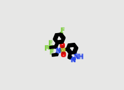 CCN(C(c1ccc(F)cc1)C(F)(F)F)S(=O)(=O)c1cccc2[nH]ncc12